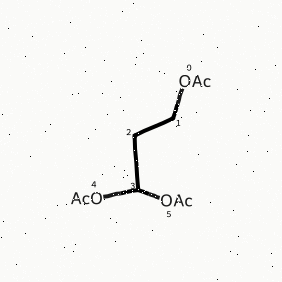 CC(=O)OCCC(OC(C)=O)OC(C)=O